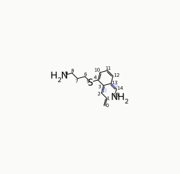 C=C/C=c1/c(SCCCN)ccc/c1=C/N